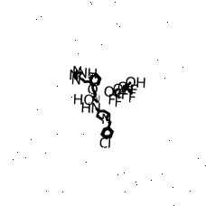 O=C(O)C(F)(F)F.O=C(O)C(F)(F)F.O[C@@H](CNC1CCN(Cc2ccc(Cl)cc2)CC1)COc1ccccc1Cc1nnn[nH]1